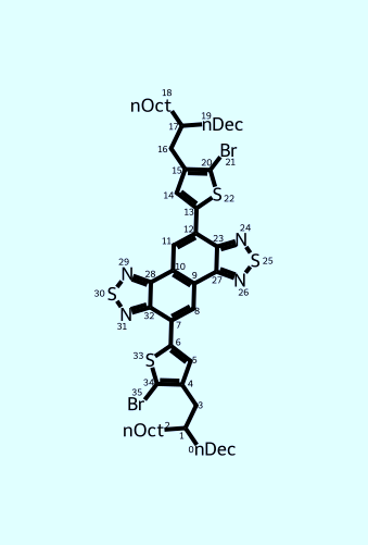 CCCCCCCCCCC(CCCCCCCC)Cc1cc(-c2cc3c(cc(-c4cc(CC(CCCCCCCC)CCCCCCCCCC)c(Br)s4)c4nsnc43)c3nsnc23)sc1Br